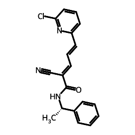 C[C@H](NC(=O)/C(C#N)=C/C=C/c1cccc(Cl)n1)c1ccccc1